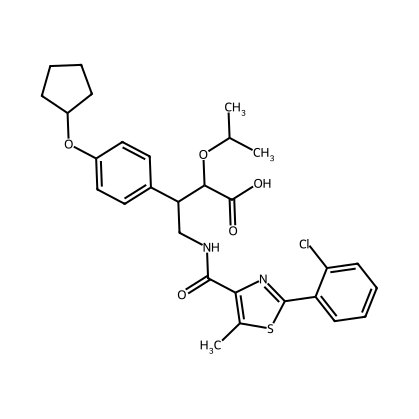 Cc1sc(-c2ccccc2Cl)nc1C(=O)NCC(c1ccc(OC2CCCC2)cc1)C(OC(C)C)C(=O)O